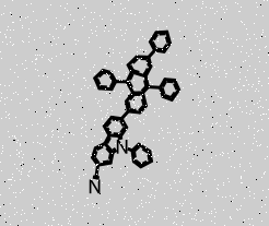 N#Cc1ccc2c3ccc(-c4ccc5c(-c6ccccc6)c6cc(-c7ccccc7)ccc6c(-c6ccccc6)c5c4)cc3n(-c3ccccc3)c2c1